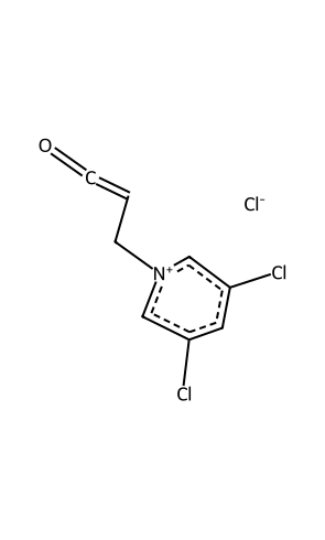 O=C=CC[n+]1cc(Cl)cc(Cl)c1.[Cl-]